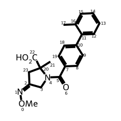 CO/N=C1\CN(C(=O)c2ccc(-c3ccccc3C)cc2)C(C)(C(=O)O)C1